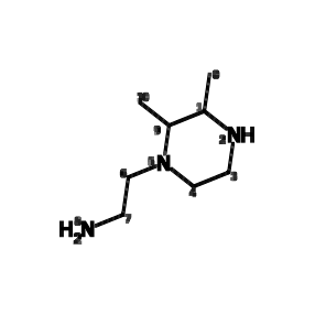 CC1NCCN(CCN)C1C